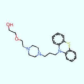 OCCOCCN1CCN(CCCN2c3ccccc3Sc3ccccc32)CC1